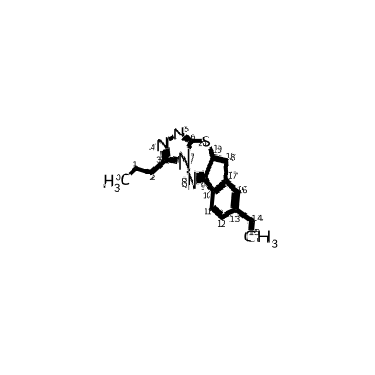 CCCc1nnc2n1N=C1c3ccc(CC)cc3CC1S2